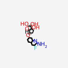 Nc1nc2cc(O[C@H]3CC[C@@]4(O)[C@@H]3OC(O)[C@@H]4O)ccc2cc1F